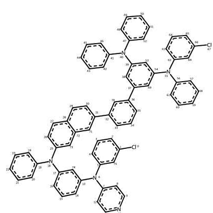 Clc1cccc(N(c2ccncc2)c2cccc(N(c3ccccc3)c3ccc4ccc(-c5cccc(-c6cc(N(c7ccccc7)c7ccccc7)cc(N(c7ccccc7)c7cccc(Cl)c7)c6)c5)cc4c3)c2)c1